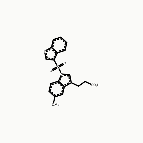 COc1ccc2c(c1)c(CCC(=O)O)cn2S(=O)(=O)c1csc2ccccc12